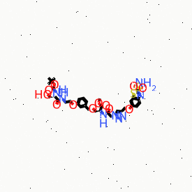 COC(=O)[C@H](COCc1cccc(OCCNC(=O)[C@H](CO)NC(=O)OC(C)(C)C)c1)NC(=O)Cn1cc(COc2ccc3nc(S(N)(=O)=O)sc3c2)nn1